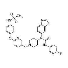 CS(=O)(=O)Nc1ccc(Oc2ccc(CN3CCC(N(C(=O)Nc4ccc(F)cc4)c4ccc5ncsc5c4)CC3)cn2)cc1